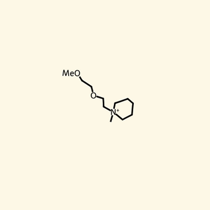 COCCOCC[N+]1(C)CCCCC1